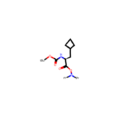 CC(C)N(OC(=O)[C@H](CC1CCC1)NC(=O)OC(C)(C)C)C(C)C